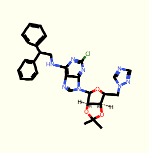 CC1(C)O[C@@H]2C(Cn3cncn3)OC(n3cnc4c(NCC(c5ccccc5)c5ccccc5)nc(Cl)nc43)[C@@H]2O1